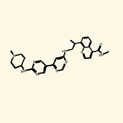 CNC(=O)c1ccnc2c(C(C)CNc3cc(-c4cnc(NC5CCN(C)CC5)nc4)ncn3)cccc12